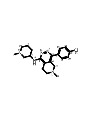 CN1CCc2c(NC3CCCN(C)C3)nnc(-c3ccc(Cl)cc3)c2C1